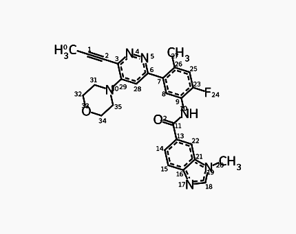 CC#Cc1nnc(-c2cc(NC(=O)c3ccc4ncn(C)c4c3)c(F)cc2C)cc1N1CCOCC1